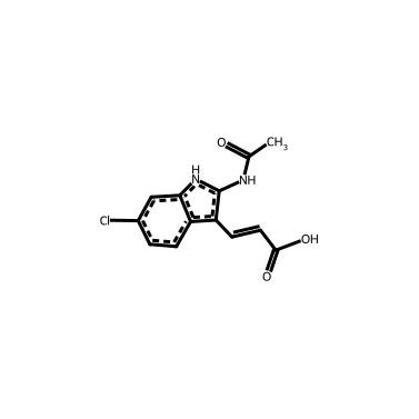 CC(=O)Nc1[nH]c2cc(Cl)ccc2c1C=CC(=O)O